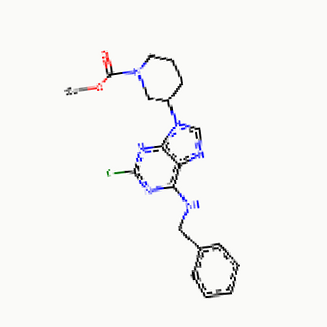 CC(C)(C)OC(=O)N1CCCC(n2cnc3c(NCc4ccccc4)nc(Cl)nc32)C1